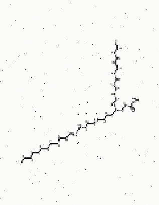 CCCCCCCCCCCCOCCCCOCCCC(CCC(=O)O)OCCCCCCCCCCCC